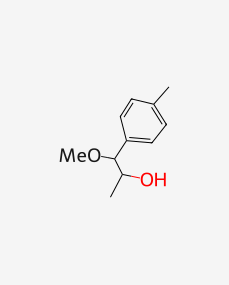 COC(c1ccc(C)cc1)C(C)O